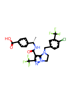 C[C@H](NC(=O)c1c(C(F)(F)F)nn2c1N(Cc1ccc(Cl)c(C(F)(F)F)c1)CC2)c1ccc(C(=O)O)cc1